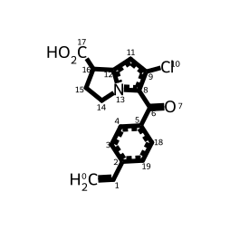 C=Cc1ccc(C(=O)c2c(Cl)cc3n2CCC3C(=O)O)cc1